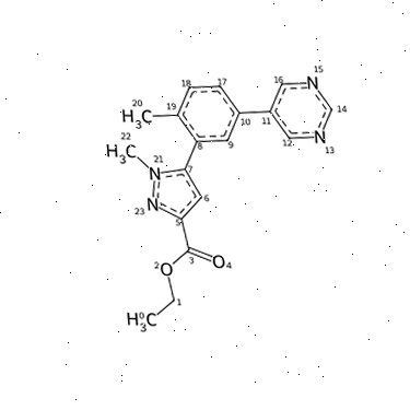 CCOC(=O)c1cc(-c2cc(-c3cncnc3)ccc2C)n(C)n1